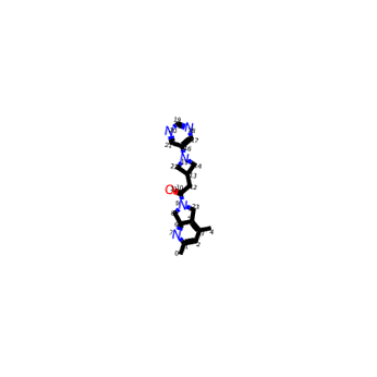 Cc1cc(C)c2c(n1)CN(C(=O)CC1CN(c3cncnc3)C1)C2